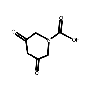 O=C1CC(=O)CN(C(=O)O)C1